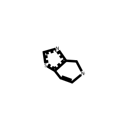 C1=Cc2scnc2C[N]1